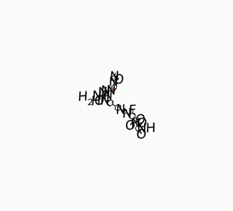 CN1CCN(C2CC3CC2N(c2nnc(C(N)=O)c(Nc4ccc(C5CCN(C6CN(c7cc8c(cc7F)C(=O)N(C7CCC(=O)NC7=O)C8=O)C6)CC5)cc4)n2)C3)C1=O